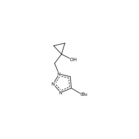 CC(C)(C)c1cn(CC2(O)CC2)nn1